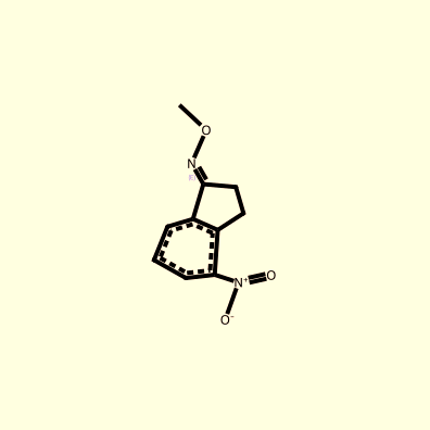 CO/N=C1\CCc2c1cccc2[N+](=O)[O-]